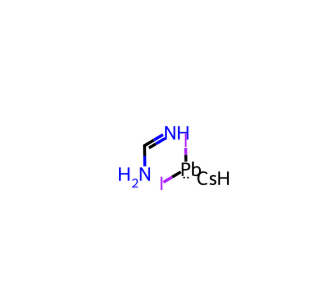 N=CN.[CsH].[I][Pb][I]